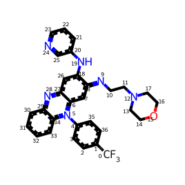 FC(F)(F)c1ccc(-n2c3c/c(=N\CCN4CCOCC4)c(Nc4cccnc4)cc-3nc3ccccc32)cc1